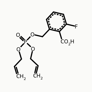 C=CCOP(=O)(OCC=C)OCc1cccc(F)c1C(=O)O